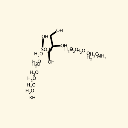 O.O.O.O.O.O.O.O.O.O.O.O.O=S(=O)(O)O.OCC(O)CO.[AlH3].[KH]